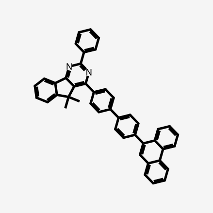 CC1(C)c2ccccc2-c2nc(-c3ccccc3)nc(-c3ccc(-c4ccc(-c5cc6ccccc6c6ccccc56)cc4)cc3)c21